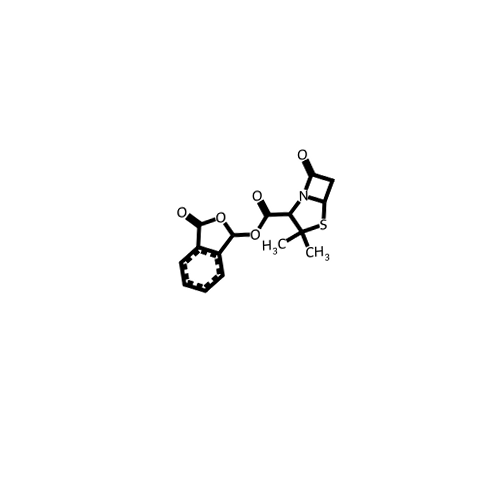 CC1(C)SC2CC(=O)N2C1C(=O)OC1OC(=O)c2ccccc21